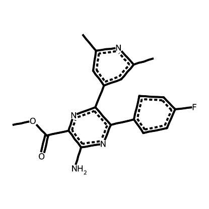 COC(=O)c1nc(-c2cc(C)nc(C)c2)c(-c2ccc(F)cc2)nc1N